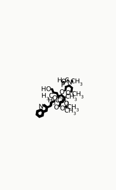 CC1=C([C@H](C)[C@@H](O[C@@H]2OC(C)CC(N(C)C)[C@H]2P=O)[C@@](C)(C[C@@H](C)CO)OC/C=C/c2cnc3ccccc3c2)OC(C)(C)OC1=O